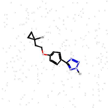 CCCC1(CCOc2ccc(-c3nnn(CC)n3)cc2)CC1